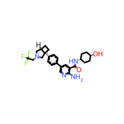 Nc1ncc(-c2ccc([C@@]34CC[C@@H]3CN(CC(F)(F)F)C4)cc2)cc1C(=O)N[C@H]1CC[C@H](O)CC1